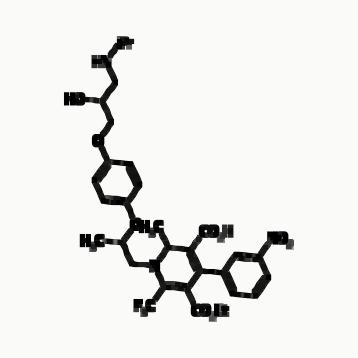 CCOC(=O)C1=C(C(F)(F)F)N(CC(C)Oc2ccc(OCC(O)CNC(C)C)cc2)C(C)C(C(=O)O)=C1c1cccc([N+](=O)[O-])c1